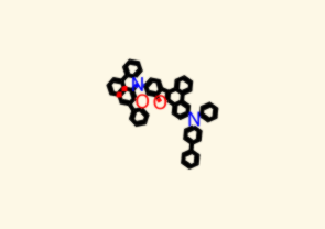 c1ccc(-c2ccc(N(c3ccccc3)c3ccc4c(c3)c3ccccc3c3c5ccc(N(c6ccccc6-c6ccccc6)c6cccc7c6oc6ccccc67)cc5oc43)cc2)cc1